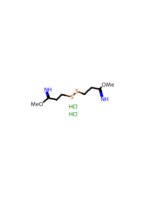 COC(=N)CCSSCCC(=N)OC.Cl.Cl